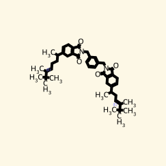 C/C(=C\CCC(C)C1=CCC2=C(C1)C(=O)N(Cc1cccc(CN3C(=O)C4=C(CC(C(C)C/C=C(\C)C(C)(C)C)=CC4)C3=O)c1)C2=O)C(C)(C)C